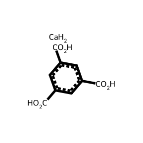 O=C(O)c1cc(C(=O)O)cc(C(=O)O)c1.[CaH2]